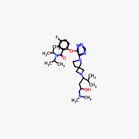 CC(C)C(CC(O)CN(C)C)N1CC2(CCN(c3ncnnc3Oc3ccc(F)cc3C(=O)N(C(C)C)C(C)C)C2)C1